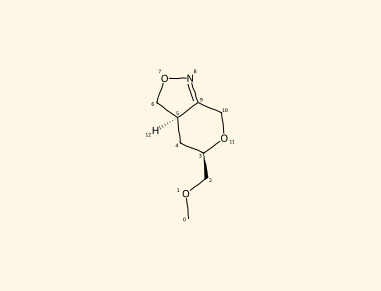 COC[C@H]1C[C@H]2CON=C2CO1